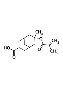 C=C(C)C(=O)OC1(C)CC2CC(CC(C(=O)O)C2)C1